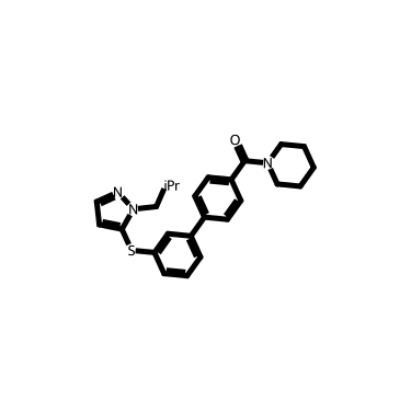 CC(C)Cn1nccc1Sc1cccc(-c2ccc(C(=O)N3CCCCC3)cc2)c1